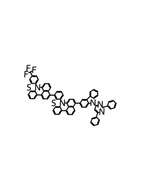 FC(F)(F)c1ccc2c(c1)sc1cccc3c1-n2c1cccc2c(-c4cccc5c4sc4cccc6c4-n5c4ccc(-c5ccc7c(c5)c5ccccc5n7-c5cc(-c7ccccc7)nc(-c7ccccc7)n5)c5cccc6c54)ccc3c21